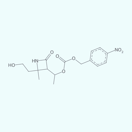 CC(OC(=O)OCc1ccc([N+](=O)[O-])cc1)C1C(=O)NC1(C)CCO